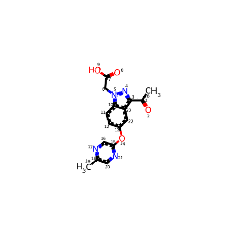 CC(=O)c1nn(CC(=O)O)c2ccc(Oc3cnc(C)cn3)cc12